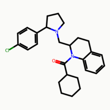 O=C(C1CCCCC1)N1c2ccccc2CCC1CN1CCCC1c1ccc(Cl)cc1